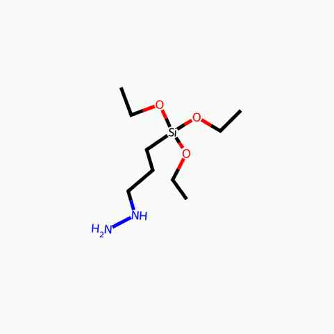 CCO[Si](CCCNN)(OCC)OCC